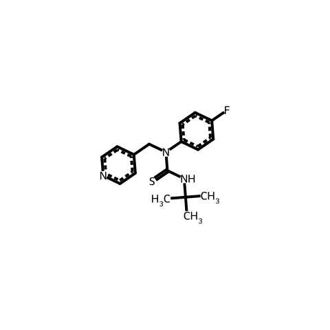 CC(C)(C)NC(=S)N(Cc1ccncc1)c1ccc(F)cc1